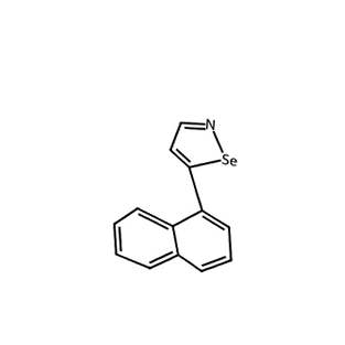 c1ccc2c(-c3ccn[se]3)cccc2c1